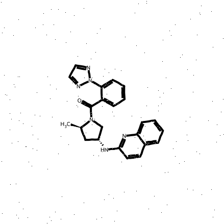 C[C@@H]1C[C@@H](Nc2ccc3ccccc3n2)CN1C(=O)c1ccccc1-n1nccn1